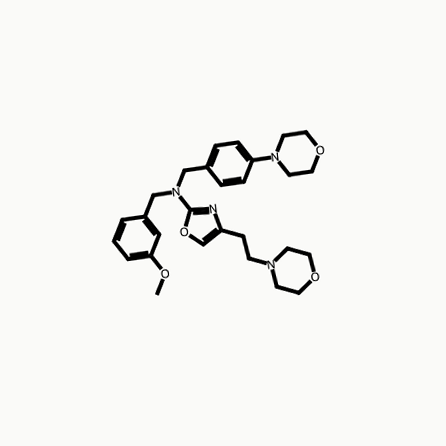 COc1cccc(CN(Cc2ccc(N3CCOCC3)cc2)c2nc(CCN3CCOCC3)co2)c1